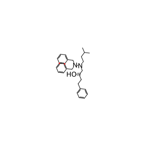 CC(C)CCN(C[C@@H](O)CCc1ccccc1)N(Cc1ccccc1)Cc1ccccc1